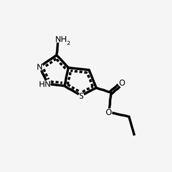 CCOC(=O)c1cc2c(N)n[nH]c2s1